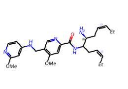 CC/C=C\CC(NC(=O)c1cc(OC)c(CNc2ccnc(OC)c2)cn1)[C@@H](N)C/C=C\CC